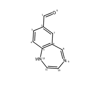 O=Cc1ccc2c(c1)C=NC=CN2